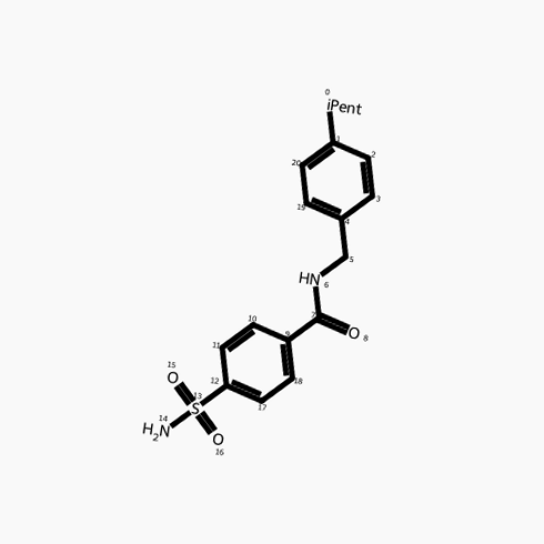 CCCC(C)c1ccc(CNC(=O)c2ccc(S(N)(=O)=O)cc2)cc1